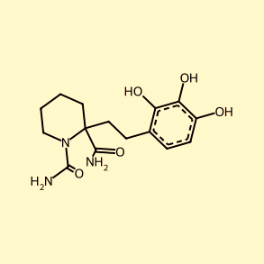 NC(=O)N1CCCCC1(CCc1ccc(O)c(O)c1O)C(N)=O